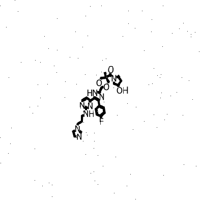 CC1(C(=O)N2CCC(O)C2)COC(c2nc(-c3ccc(F)cc3)c(-c3ccnc(NCCCN4C=NCC4)n3)[nH]2)OC1